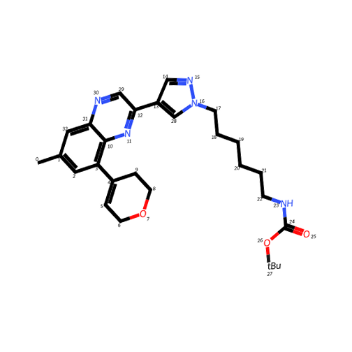 Cc1cc(C2=CCOCC2)c2nc(-c3cnn(CCCCCCNC(=O)OC(C)(C)C)c3)cnc2c1